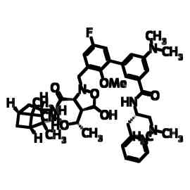 COc1c(CN2OC(O)[C@@H]([C@H](C)O)[C@H]2C(=O)N[C@H]2C[C@H]3C[C@@H]([C@@H]2C)C3(C)C)cc(F)cc1-c1cc(C(=O)N[C@@H](Cc2ccccn2)CN(C)C)cc(N(C)C)c1